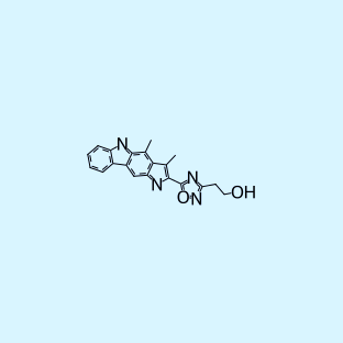 CC1=C(c2nc(CCO)no2)N=c2cc3c(c(C)c21)=Nc1ccccc1-3